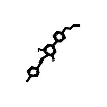 C=CCCc1ccc(-c2cc(F)c(C#Cc3ccc(C)cc3)c(F)c2)cc1